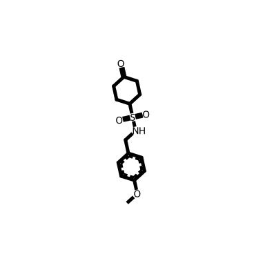 COc1ccc(CNS(=O)(=O)C2CCC(=O)CC2)cc1